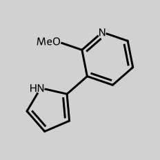 COc1ncccc1-c1ccc[nH]1